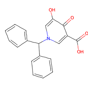 O=C(O)c1cn(C(c2ccccc2)c2ccccc2)cc(O)c1=O